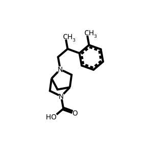 Cc1ccccc1C(C)CN1CC2CC1CN2C(=O)O